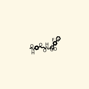 CC(=O)Nc1ccc(C(=O)CCC(=O)NC[C@H]2CN(c3ccc(N4CCCCC4)c(F)c3)C(=O)O2)cc1